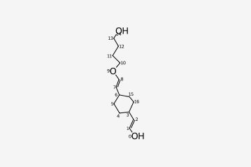 OC=CC1CCC(C=COCCCCO)CC1